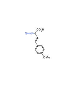 COc1ccc(/C=C/C(=[N+]=[N-])C(=O)O)cc1